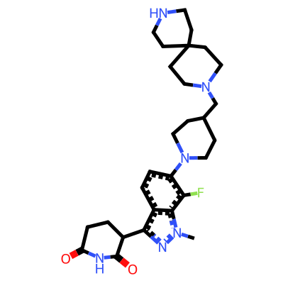 Cn1nc(C2CCC(=O)NC2=O)c2ccc(N3CCC(CN4CCC5(CCNCC5)CC4)CC3)c(F)c21